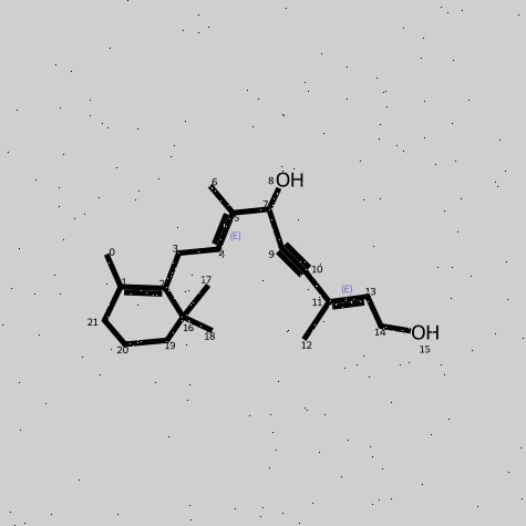 CC1=C(C/C=C(\C)C(O)C#C/C(C)=C/CO)C(C)(C)CCC1